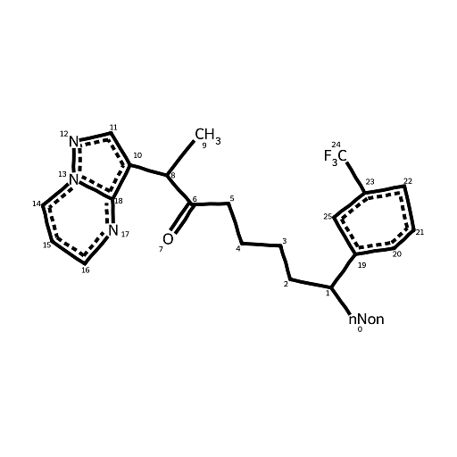 CCCCCCCCCC(CCCCC(=O)C(C)c1cnn2cccnc12)c1cccc(C(F)(F)F)c1